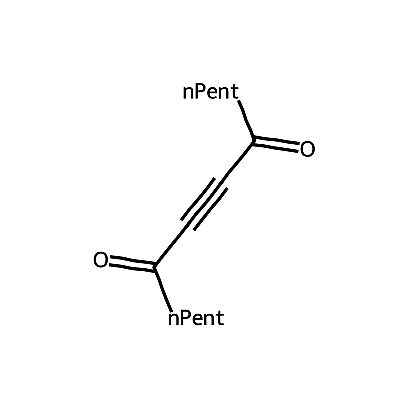 CCCCCC(=O)C#CC(=O)CCCCC